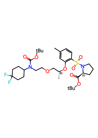 Cc1ccc(S(=O)(=O)N2CCC[C@H]2C(=O)OC(C)(C)C)c(O[C@H](C)COCCN(C(=O)OC(C)(C)C)C2CCC(F)(F)CC2)c1